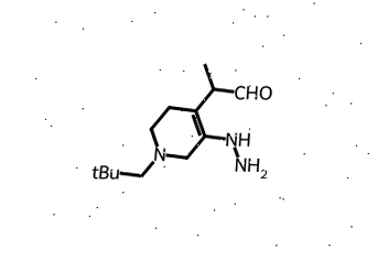 CC(C=O)C1=C(NN)CN(CC(C)(C)C)CC1